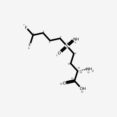 N=S(=O)(CCCC(F)F)CC[C@H](N)C(=O)O